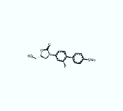 CSc1ccc(-c2ccc(N3C[C@H](CO)OC3=O)cc2F)cc1